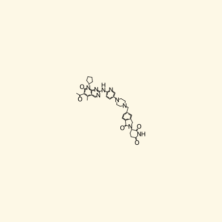 CC(=O)c1c(C)c2cnc(Nc3ccc(N4CCN(Cc5ccc6c(c5)CN(C5CCC(=O)NC5=O)C6=O)CC4)cn3)nc2n(C2CCCC2)c1=O